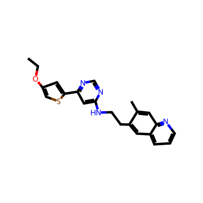 CCOc1csc(-c2cc(NCCc3cc4cccnc4cc3C)ncn2)c1